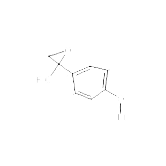 CCOc1ccc(C2(C(F)(F)F)CO2)cc1